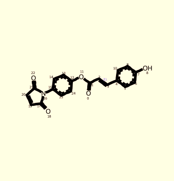 O=C(/C=C/c1ccc(O)cc1)Oc1ccc(N2C(=O)C=CC2=O)cc1